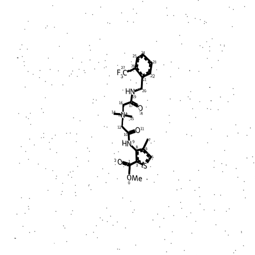 COC(=O)c1scc(C)c1NC(=O)C[N+](C)(C)CC(=O)NCc1ccccc1C(F)(F)F